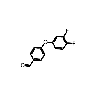 O=Cc1ccc(Oc2ccc(F)c(F)c2)cc1